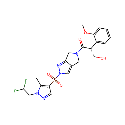 COc1ccccc1[C@H](CO)C(=O)N1Cc2cn(S(=O)(=O)c3cnn(CC(F)F)c3C)nc2C1